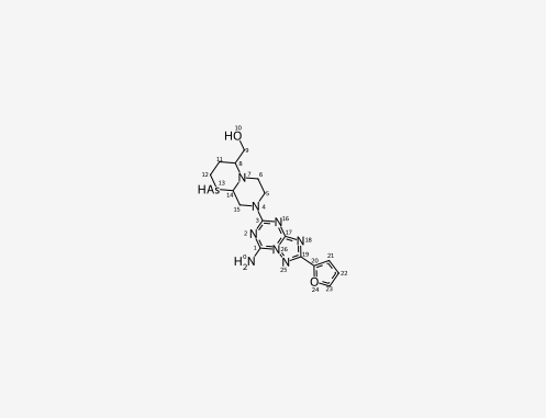 Nc1nc(N2CCN3C(CO)CC[AsH]C3C2)nc2nc(-c3ccco3)nn12